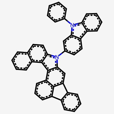 c1ccc(-n2c3ccccc3c3ccc(-n4c5ccc6ccccc6c5c5c6cccc7c6c(cc54)-c4ccccc4-7)cc32)cc1